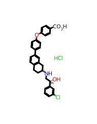 Cl.O=C(O)c1ccc(Oc2ccc(-c3ccc4c(c3)C[C@@H](NC[C@H](O)c3cccc(Cl)c3)CC4)cc2)cc1